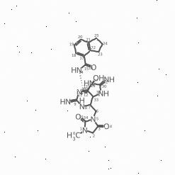 CN1CC(=O)N(CC2NC(=N)N3C[C@H](NC(=O)c4cccc5c4CCC5)C(O)C34NC(=N)NC24)C1=O